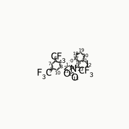 C[C@H]1[C@@H](c2cc(C(F)(F)F)cc(C(F)(F)F)c2)OC(=O)N1[C@@H](c1ccccc1I)C(F)(F)F